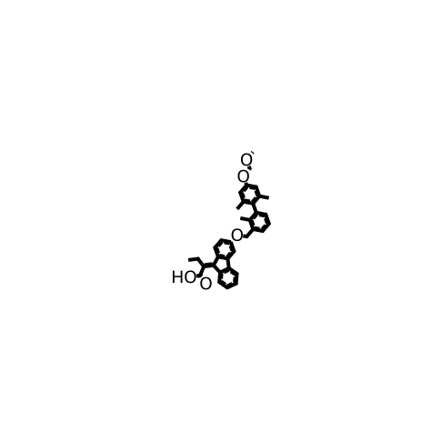 CCC(C(=O)O)=C1c2ccccc2-c2cc(OCc3cccc(-c4c(C)cc(OCOC)cc4C)c3C)ccc21